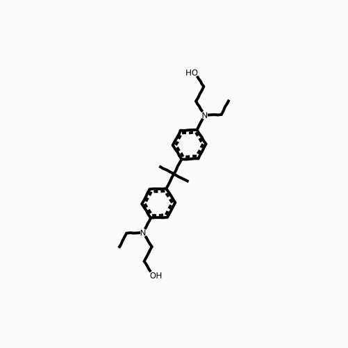 CCN(CCO)c1ccc(C(C)(C)c2ccc(N(CC)CCO)cc2)cc1